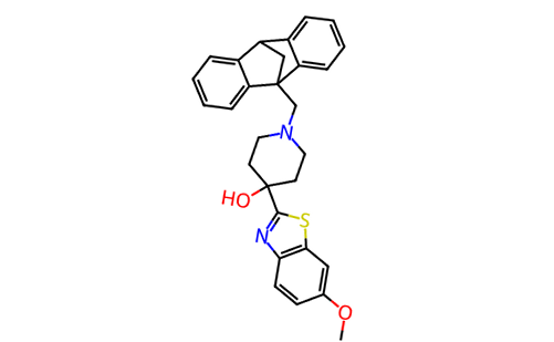 COc1ccc2nc(C3(O)CCN(CC45CC(c6ccccc64)c4ccccc45)CC3)sc2c1